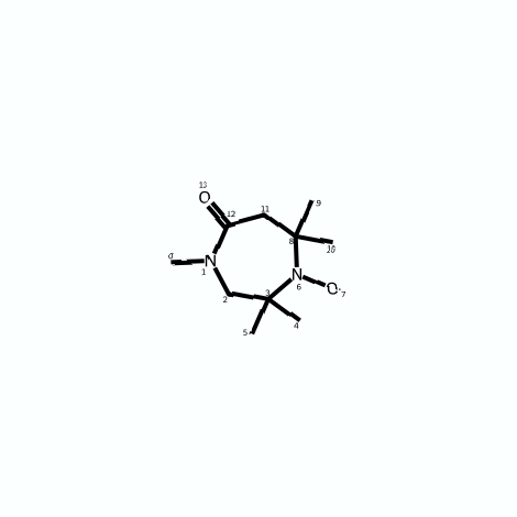 CN1CC(C)(C)N([O])C(C)(C)CC1=O